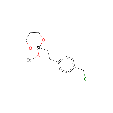 CCO[Si]1(CCc2ccc(CCl)cc2)OCCCO1